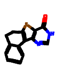 O=c1[nH]cnc2c3c(sc12)CCc1ccccc1-3